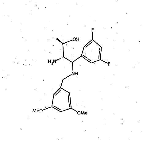 COc1cc(CNC(c2cc(F)cc(F)c2)[C@H](N)[C@@H](C)O)cc(OC)c1